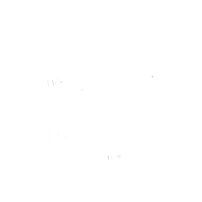 CCCCc1cc2ccccc2c(O)c1CCCC